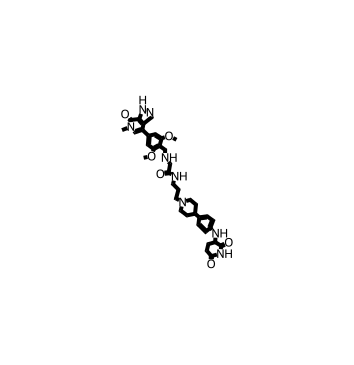 COc1cc(-c2cn(C)c(=O)c3[nH]ncc23)cc(OC)c1CNCC(=O)NCCCN1CCC(c2ccc(NC3CCC(=O)NC3=O)cc2)CC1